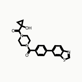 O=C(c1ccc(-c2ccc3ncsc3c2)cc1)N1CCN(C(=O)C2(O)CC2)CC1